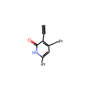 C#Cc1c(C(C)C)cc(C(C)C)[nH]c1=O